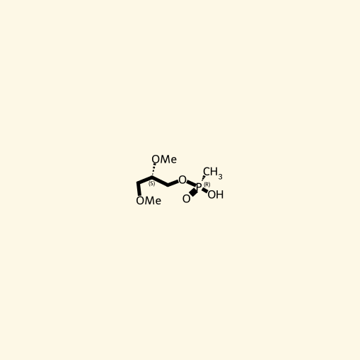 COC[C@@H](CO[P@](C)(=O)O)OC